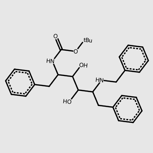 CC(C)(C)OC(=O)NC(Cc1ccccc1)C(O)C(O)C(Cc1ccccc1)NCc1ccccc1